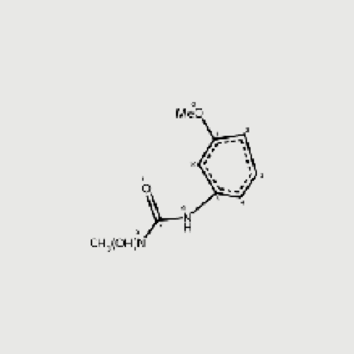 COc1cccc(NC(=O)N(C)O)c1